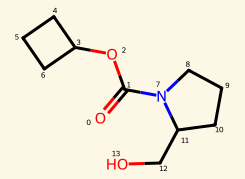 O=C(OC1CCC1)N1CCCC1CO